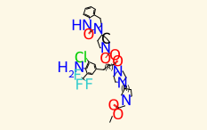 CCOC(=O)CN1CC[C@@H](N2CCN(C(=O)[C@@H](Cc3cc(Cl)c(N)c(C(F)(F)F)c3)OC(=O)N3CCC(N4CCc5ccccc5NC4=O)CC3)CC2)C1